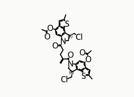 C=C(CCC(=O)N1C[C@H](CCl)c2c1cc(OC(C)=O)c1cc(C)sc21)C(=O)N1C[C@H](CCl)c2c1cc(OC(C)=O)c1cc(C)sc21